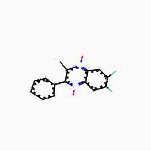 N#Cc1c(-c2ccccc2)[n+]([O-])c2cc(F)c(F)cc2[n+]1[O-]